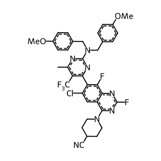 COc1ccc(CN(Cc2ccc(OC)cc2)c2nc(C)c(C(F)(F)F)c(-c3c(Cl)cc4c(N5CCC(C#N)CC5)nc(F)nc4c3F)n2)cc1